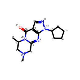 CC1CN(C)Cc2nc3c(cnn3C3CCCC3)c(=O)n21